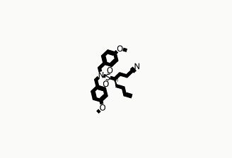 C=CCC[C@H](CCC#N)S(=O)(=O)N(Cc1ccc(OC)cc1)Cc1ccc(OC)cc1